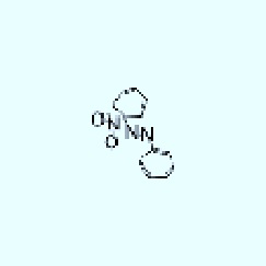 O=[N+]([O-])C1(N=Nc2ccccc2)C=CC=CC1